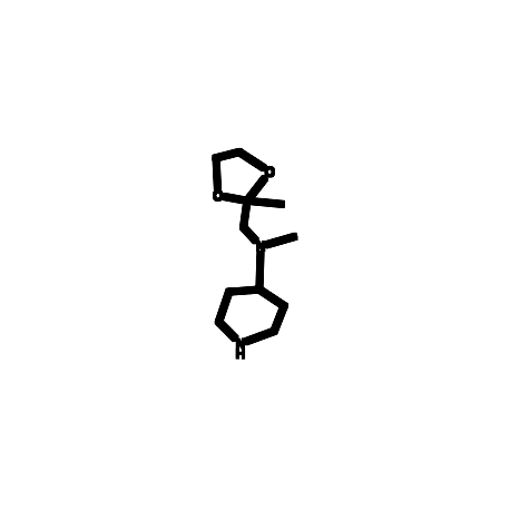 CN(CC1(C)OCCO1)C1CCNCC1